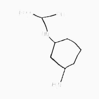 CC(NC1CCCC(N)C1)C(=O)O